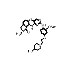 COc1cc(OCCN2CCC(O)CC2)ccc1Nc1ncc(Cl)c(Nc2cccc3c2C(=O)N(C)C3)n1